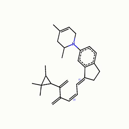 C=C(/C=C\C=C1/CCc2ccc(N3CC=C(C)CC3C)cc21)C(=C)C1C(C)C1(C)C